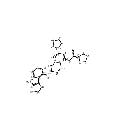 O=C(CN(CC(=O)N1CCCC1)C1CCC(Oc2ncnc3sc4c(c23)CCC4)CC1)N1CCCC1